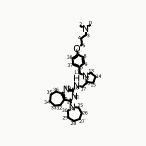 CN(C)CCCOc1ccc(CN2CCCC2CNc2nc3c(c(N4CCCCCC4)n2)CCCCC3)cc1